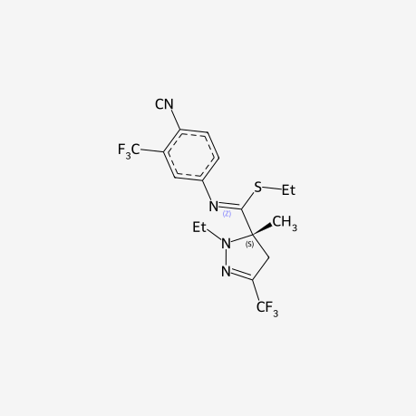 [C-]#[N+]c1ccc(/N=C(\SCC)[C@]2(C)CC(C(F)(F)F)=NN2CC)cc1C(F)(F)F